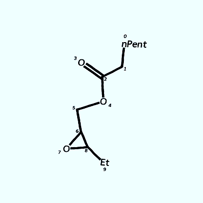 CCCCCCC(=O)OCC1OC1CC